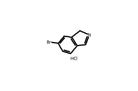 Brc1ccc2c(c1)CN=C2.Cl